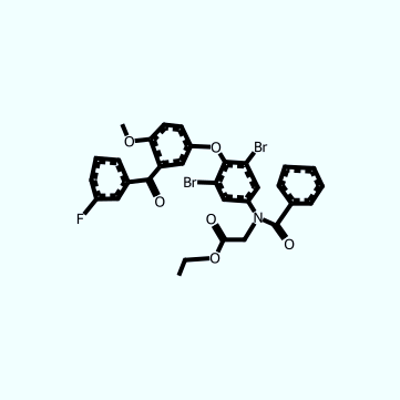 CCOC(=O)CN(C(=O)c1ccccc1)c1cc(Br)c(Oc2ccc(OC)c(C(=O)c3cccc(F)c3)c2)c(Br)c1